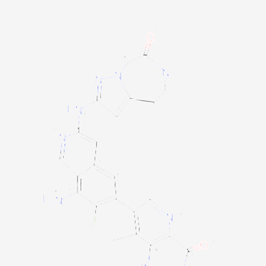 Cc1c(-c2cc3cc(Nc4cc5n(n4)CC(=O)NCC5)ncc3c(N)c2F)cnc2c1NCN(C)C2=O